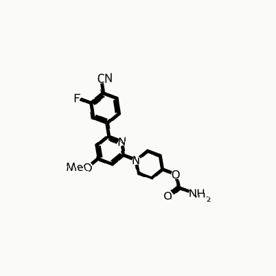 COc1cc(-c2ccc(C#N)c(F)c2)nc(N2CCC(OC(N)=O)CC2)c1